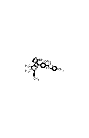 CC#CC(=O)N(C)[C@@H](C)c1nc(-c2ccc(C(=O)Nc3ccc(C)cn3)c(OC)c2)c2c(N)nccn12